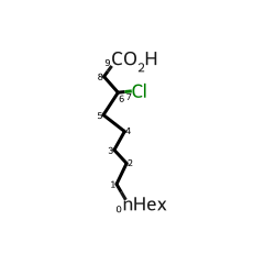 CCCCCCCCCCCC(Cl)CC(=O)O